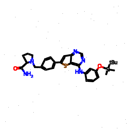 CC(C)(C)[Si](C)(C)Oc1cccc(Nc2ncnc3cc(-c4ccc(CN5CCCC5C(N)=O)cc4)sc23)c1